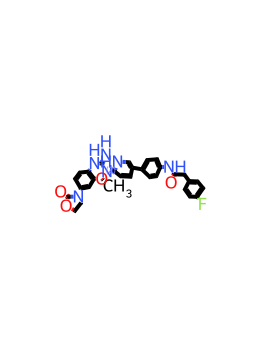 COc1cc(N2CCOC2=O)ccc1NC(=N)/N=c1/ccc(-c2ccc(NC(=O)Cc3ccc(F)cc3)cc2)c[nH]1